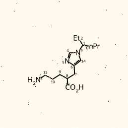 CCCC(CC)n1cnc(CC(CCCN)C(=O)O)c1